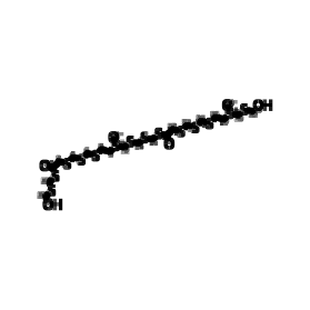 O=C(CSCSCSCC[S+]([O-])CSCSCSC(=O)CSCSCSCC[S+]([O-])CSCO)SCSCO